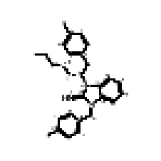 CCCOC[C@H](Cc1ccc(C)cc1)n1c(=N)n(Cc2ccc(C)cc2)c2ccccc21